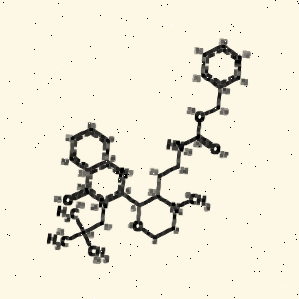 CN1CCOC(c2nc3ccccc3c(=O)n2CC(C)(C)C)C1CCNC(=O)OCc1ccccc1